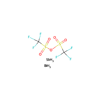 O=S(=O)(OS(=O)(=O)C(F)(F)F)C(F)(F)F.[BiH3].[SbH3]